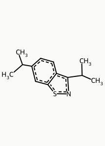 CC(C)c1ccc2c(C(C)C)nsc2c1